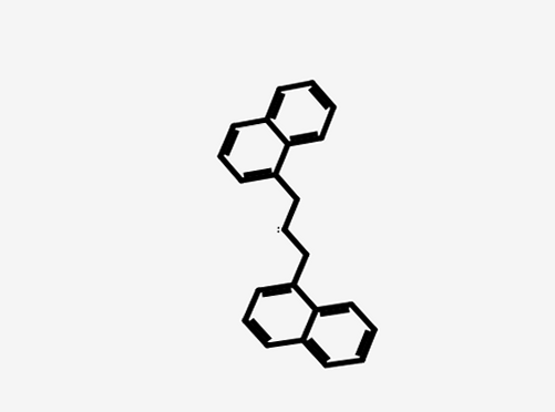 [C](Cc1cccc2ccccc12)Cc1cccc2ccccc12